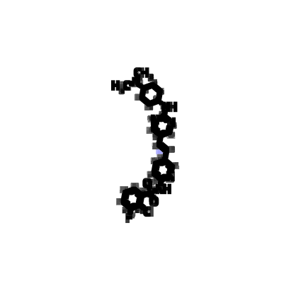 CN(C)[C@H]1CC[C@H](Nc2ncc(/C=C/c3ccc(NS(=O)(=O)c4cccc(F)c4Cl)nc3)cn2)CC1